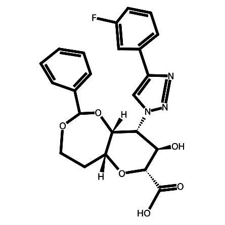 O=C(O)[C@@H]1O[C@@H]2CCOC(c3ccccc3)O[C@@H]2[C@H](n2cc(-c3cccc(F)c3)nn2)[C@H]1O